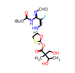 CC(C)COC(=O)NC(=N/C=O)/C(F)=C\N[C@H]1CS[C@H](OC(=O)C(C)(CO)C(C)O)O1